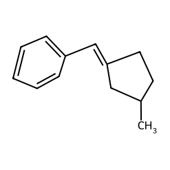 CC1CCC(=Cc2ccccc2)C1